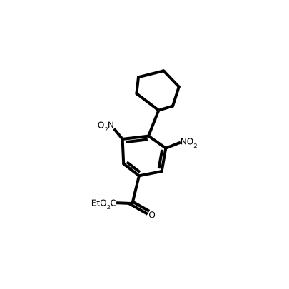 CCOC(=O)C(=O)c1cc([N+](=O)[O-])c(C2CCCCC2)c([N+](=O)[O-])c1